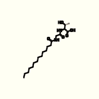 CCCCCCCCCCCCCC(=O)NCC(=O)N[C@H](C(=O)O)[C@@H](C)O